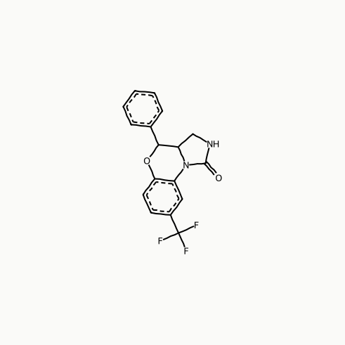 O=C1NCC2C(c3ccccc3)Oc3ccc(C(F)(F)F)cc3N12